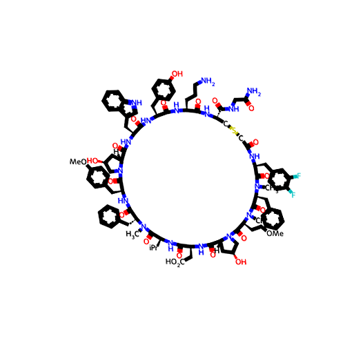 COCC[C@H]1C(=O)N2C[C@@H](O)C[C@@H]2C(=O)N[C@@H](CC(=O)O)C(=O)N[C@@H](C(C)C)C(=O)N(C)[C@H](Cc2ccccc2)C(=O)N[C@@H](Cc2ccc(OC)cc2)C(=O)N2C[C@@H](O)C[C@@H]2C(=O)N[C@@H](Cc2c[nH]c3ccccc23)C(=O)N[C@@H](Cc2ccc(O)cc2)C(=O)N[C@@H](CCCN)C(=O)N[C@H](C(=O)NCC(N)=O)CSCC(=O)N[C@@H](Cc2ccc(F)c(F)c2)C(=O)N(C)[C@@H](Cc2ccccc2)C(=O)N1C